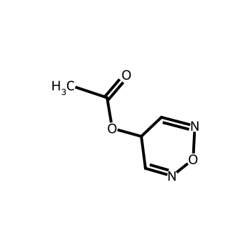 CC(=O)OC1C=NON=C1